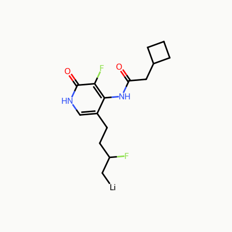 [Li][CH2]C(F)CCc1c[nH]c(=O)c(F)c1NC(=O)CC1CCC1